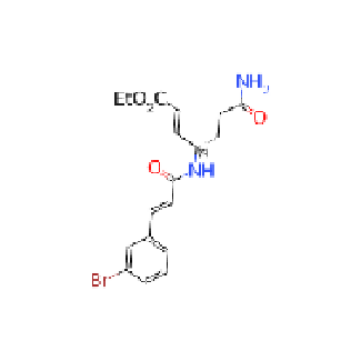 CCOC(=O)C=C[C@H](CCC(N)=O)NC(=O)C=Cc1cccc(Br)c1